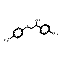 Cc1ccc(SCC(O)c2ccc(C)cc2)cc1